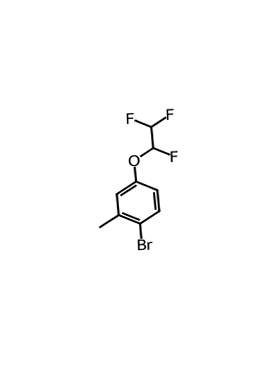 Cc1cc(OC(F)C(F)F)ccc1Br